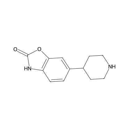 O=c1[nH]c2ccc(C3CCNCC3)cc2o1